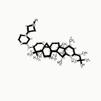 CC(C)N1CC(N2CCO[C@@H](O[C@H]3CC[C@]45CC46CC[C@]4(C)[C@@H]7C(OC([C@H](O)C(C)(C)O)C[C@H]7C)[C@H](O)[C@@]4(C)C6CC[C@H]5C3(C)C)C2)C1